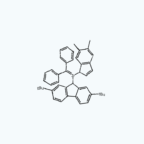 Cc1cc2c(cc1C)[CH]([Zr](=[C](c1ccccc1)c1ccccc1)[CH]1c3cc(C(C)(C)C)ccc3-c3ccc(C(C)(C)C)cc31)C=C2